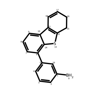 Bc1cccc(-c2cccc3c4c(sc23)CCC=C4)c1